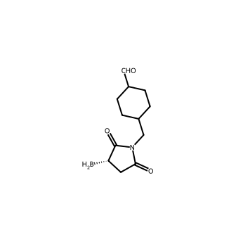 B[C@H]1CC(=O)N(CC2CCC(C=O)CC2)C1=O